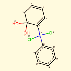 OC1(O)CC=CC=C1[N+](Cl)(Cl)c1ccccc1